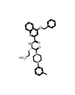 Cc1cccc(N2CCN(C(=O)[C@H](CCC(=O)O)NC(=O)c3cc(OCc4ccccc4)c4ccccc4n3)CC2)c1